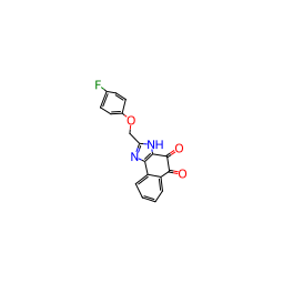 O=C1C(=O)c2[nH]c(COc3ccc(F)cc3)nc2-c2ccccc21